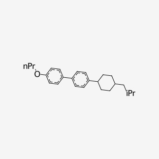 CCCOc1ccc(-c2ccc(C3CCC(CC(C)C)CC3)cc2)cc1